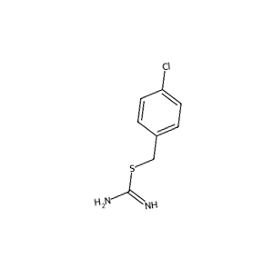 N=C(N)SCc1ccc(Cl)cc1